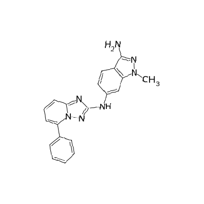 Cn1nc(N)c2ccc(Nc3nc4cccc(-c5ccccc5)n4n3)cc21